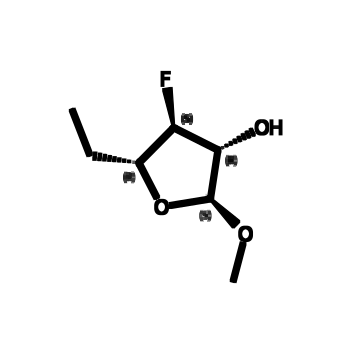 CC[C@H]1O[C@H](OC)[C@@H](O)[C@@H]1F